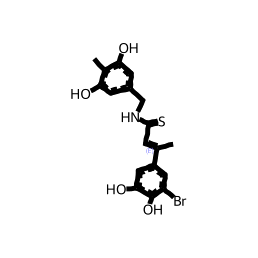 C/C(=C\C(=S)NCc1cc(O)c(C)c(O)c1)c1cc(O)c(O)c(Br)c1